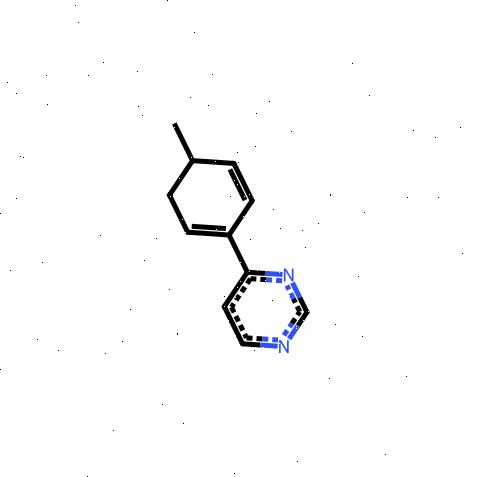 CC1C=CC(c2ccncn2)=CC1